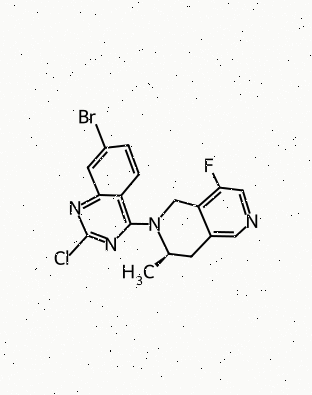 C[C@@H]1Cc2cncc(F)c2CN1c1nc(Cl)nc2cc(Br)ccc12